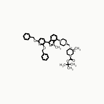 C[C@H]1CN(C(=O)OC(C)(C)C)CC[C@@H]1CN1CCN(c2cccc3c(-c4ccc(OCc5ccccc5)nc4OCc4ccccc4)nn(C)c23)CC1